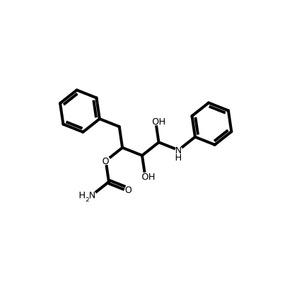 NC(=O)OC(Cc1ccccc1)C(O)C(O)Nc1ccccc1